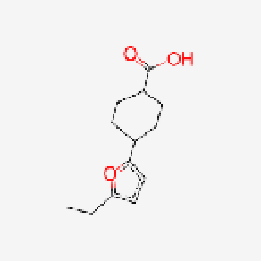 CCc1ccc(C2CCC(C(=O)O)CC2)o1